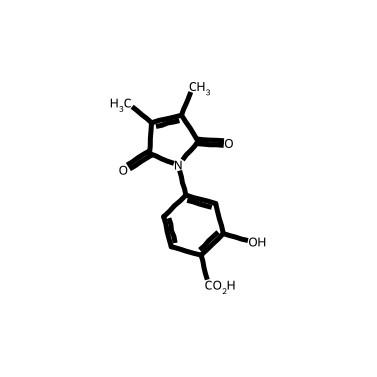 CC1=C(C)C(=O)N(c2ccc(C(=O)O)c(O)c2)C1=O